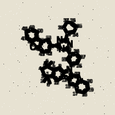 CC1(C)CCC(C)(C)c2cc3c(cc21)c1cc2ccccc2cc1n3-c1cccc(-c2nc(C3=CC=CCC3)nc(-c3ccc4oc5ccccc5c4c3)n2)c1